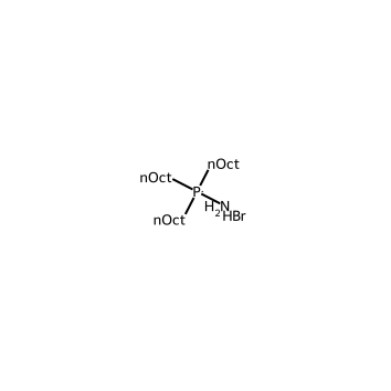 Br.CCCCCCCC[P](N)(CCCCCCCC)CCCCCCCC